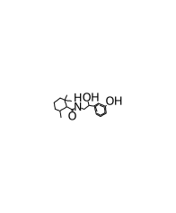 CC1CCCC(C)(C)C1C(=O)NCC(O)c1cccc(O)c1